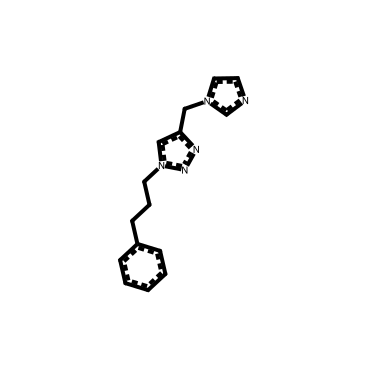 c1ccc(CCCn2cc(Cn3ccnc3)nn2)cc1